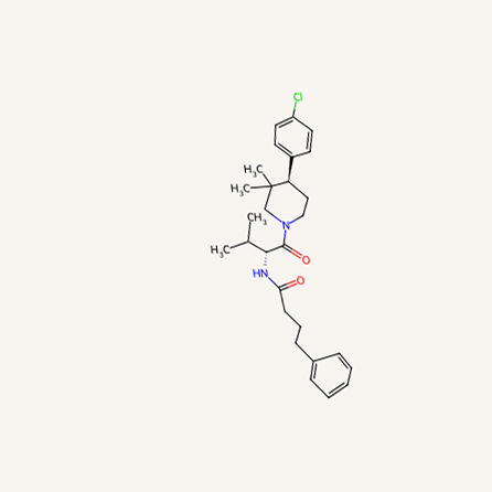 CC(C)[C@@H](NC(=O)CCCc1ccccc1)C(=O)N1CC[C@H](c2ccc(Cl)cc2)C(C)(C)C1